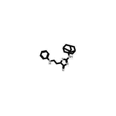 O=C1N=C(NC23CC4CC(CC(C4)C2)C3)SC1CCNc1ccccc1